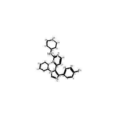 Fc1ccc(-c2ncn(C3CCCCC3)c2-c2ccnc(NC3CCSCC3)n2)cc1